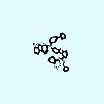 C=N/C(=N\C(=N/Cc1ccccc1)c1cccc2oc3cc(N(C4=CCCC(c5ccccc5)=C4)c4ccc5c(c4)C(C)(C)c4ccccc4-5)ccc3c12)c1ccccc1